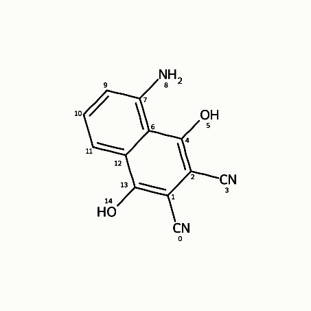 N#Cc1c(C#N)c(O)c2c(N)cccc2c1O